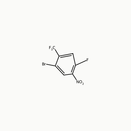 O=[N+]([O-])c1cc(Br)c(C(F)(F)F)cc1F